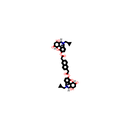 O=C(Cc1ccc2cc(CC(=O)Oc3ccc4c5c3O[C@H]3C(=O)CC[C@@]6(O)[C@@H](C4)N(CC4CC4)CC[C@]536)ccc2c1)Oc1ccc2c3c1O[C@H]1C(=O)CC[C@@]4(O)[C@@H](C2)N(CC2CC2)CCC314